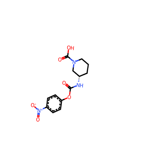 O=C(N[C@H]1CCCN(C(=O)O)C1)Oc1ccc([N+](=O)[O-])cc1